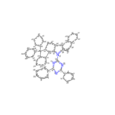 c1ccc(-c2nc(-c3ccccc3)nc(-n3c4ccc5ccccc5c4c4ccc5c(c43)-c3ccccc3C5(c3ccccc3)c3ccccc3)n2)cc1